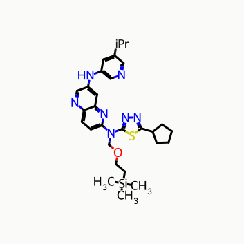 CC(C)c1cncc(Nc2cnc3ccc(N(COCC[Si](C)(C)C)c4nnc(C5CCCC5)s4)nc3c2)c1